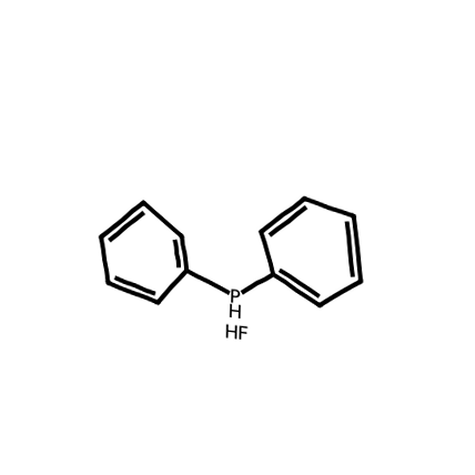 F.c1ccc(Pc2ccccc2)cc1